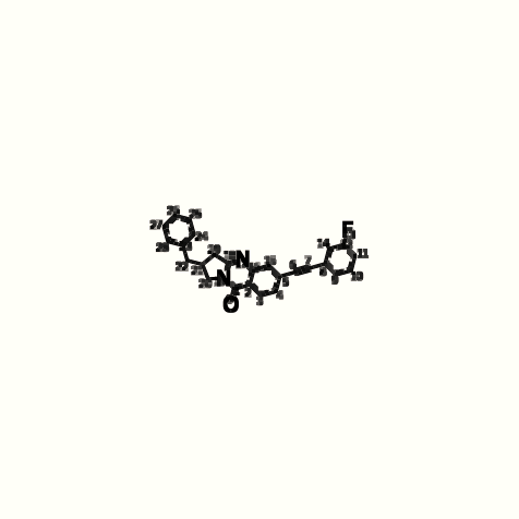 O=c1c2ccc(C#Cc3cccc(F)c3)cc2nc2n1CC(Cc1ccccc1)C2